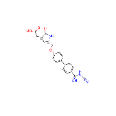 N#CNC(=N)c1ccc(-c2ccc(OC[C@@H]3C[C@@H](CC(=O)O)C(=O)N3)cc2)cc1